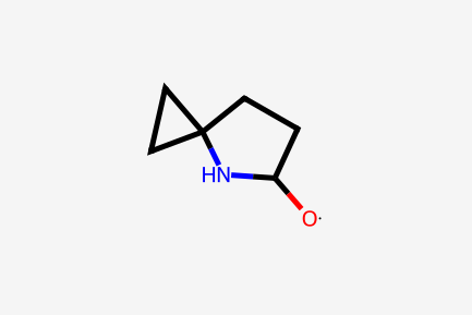 [O]C1CCC2(CC2)N1